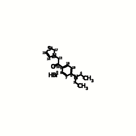 Br.CCN(CC)c1ccc(C(=O)CN2C=CSC2)cc1